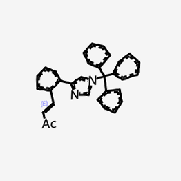 CC(=O)/C=C/c1ccccc1-c1cn(C(c2ccccc2)(c2ccccc2)c2ccccc2)cn1